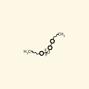 C=CCCc1ccc(-c2ccc(OC(F)(F)c3ccc(CC/C=C/C)cc3)cc2)cc1